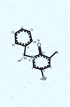 [CH2]c1cc(Br)cn([C@H](C)c2ccccc2)c1=O